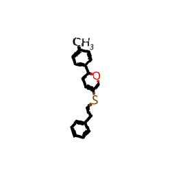 Cc1ccc(C2CC=C(SCCc3ccccc3)CO2)cc1